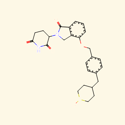 O=C1CCC(N2Cc3c(OCc4ccc(CC5CC[S+]([O-])CC5)cc4)cccc3C2=O)C(=O)N1